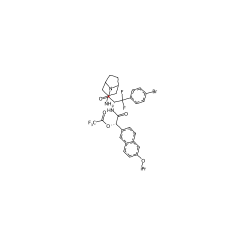 CC(C)Oc1ccc2cc([C@H](OC(=O)C(F)(F)F)C(=O)N[C@H](C(=O)N3C4CCC3CC(N)C4)C(F)(F)c3ccc(Br)cc3)ccc2c1